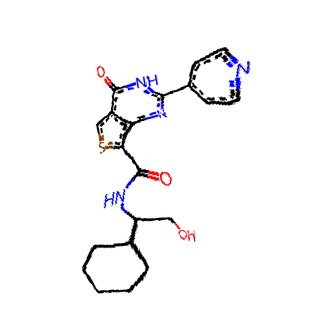 O=C(NC(CO)C1CCCCC1)c1scc2c(=O)[nH]c(-c3ccncc3)nc12